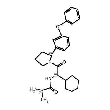 C[C@@H](N)C(=O)N[C@H](C(=O)N1CCC[C@H]1c1cccc(Oc2ccccc2)c1)C1CCCCC1